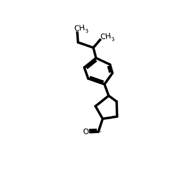 CCC(C)c1ccc(C2CCC([C]=O)C2)cc1